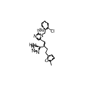 CCCCc1ncc(C=C(CCc2ccc(C)o2)c2nnn[nH]2)n1Cc1ccccc1Cl